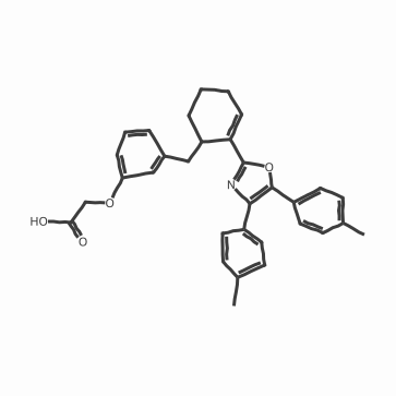 Cc1ccc(-c2nc(C3=CCCCC3Cc3cccc(OCC(=O)O)c3)oc2-c2ccc(C)cc2)cc1